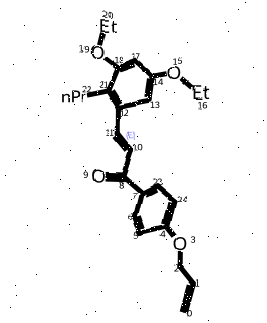 C=CCOc1ccc(C(=O)/C=C/c2cc(OCC)cc(OCC)c2CCC)cc1